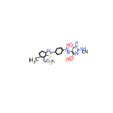 Cc1ccc2nc(-c3ccc(N=NC4=C(O)N=C(NC#N)NC4O)cc3)sc2c1S(=O)(=O)O